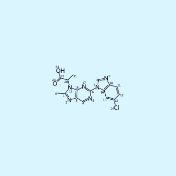 Cc1nc2cnc(-n3cnc4ccc(Cl)cc43)nc2n1C(C)C(=O)O